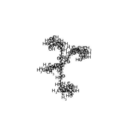 CCC(C)(C)C(=O)CC(C)(C)CC(C)(C)CC(=O)NC(COCCC(=O)NCCCNC(=O)CC(C)(C)CC(C)(C)COC1OC(CO)C(O)C(O)C1NC(C)=O)(COCCC(=O)NCCCNC(=O)CC(C)(C)CC(C)(C)COC1OC(CO)C(O)C(O)C1NC(C)=O)COCCC(=O)NCCCNC(=O)CC(C)(C)CC(C)(C)COC1OC(CO)C(O)C(O)C1NC(C)=O